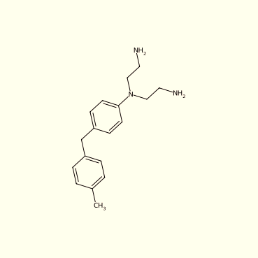 Cc1ccc(Cc2ccc(N(CCN)CCN)cc2)cc1